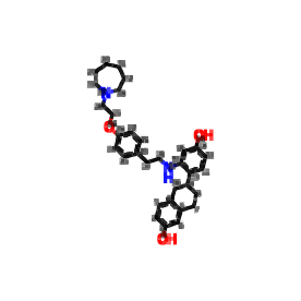 Oc1ccc2c(c1)CCC(c1ccc(O)cc1NCCc1ccc(OCCN3CCCCCC3)cc1)C2